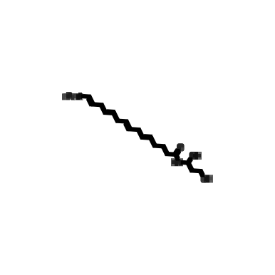 CCCCCC=CCC=CCC=CCC=CCCCC(=O)NC(O)CCO